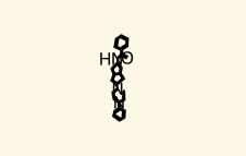 O=C(N[C@H]1CC2C[C@@H](N3CCN(c4ccccc4)CC3)CC2C1)c1ccccc1